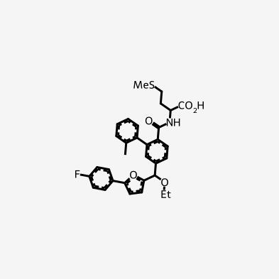 CCOC(c1ccc(C(=O)NC(CCSC)C(=O)O)c(-c2ccccc2C)c1)c1ccc(-c2ccc(F)cc2)o1